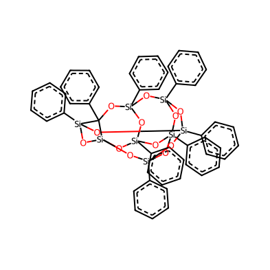 c1ccc(C23O[Si]4(c5ccccc5)O[Si]5(c6ccccc6)O[Si]6(c7ccccc7)O[Si](c7ccccc7)(O4)O[Si]24O[Si](c2ccccc2)(O6)O[Si](c2ccccc2)(O5)O[Si]3(c2ccccc2)O4)cc1